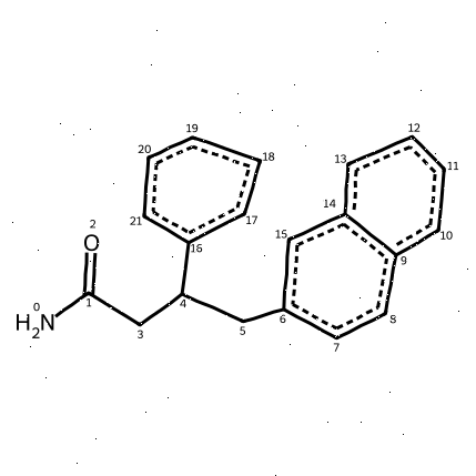 NC(=O)CC(Cc1ccc2ccccc2c1)c1ccccc1